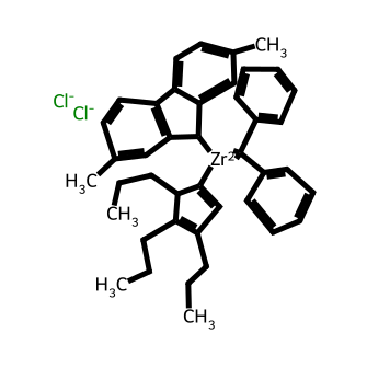 CCCC1=C(CCC)C(CCC)[C]([Zr+2](=[C](c2ccccc2)c2ccccc2)[CH]2c3cc(C)ccc3-c3ccc(C)cc32)=C1.[Cl-].[Cl-]